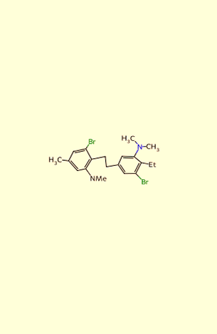 CCc1c(Br)cc(CCc2c(Br)cc(C)cc2NC)cc1N(C)C